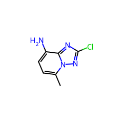 Cc1ccc(N)c2nc(Cl)nn12